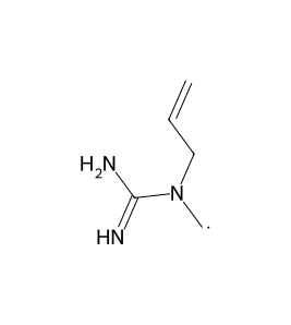 [CH2]N(CC=C)C(=N)N